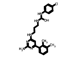 Cc1cccc(-c2cc(NCCCNC(O)Nc3ccc(Cl)cc3)nc(N)n2)c1C